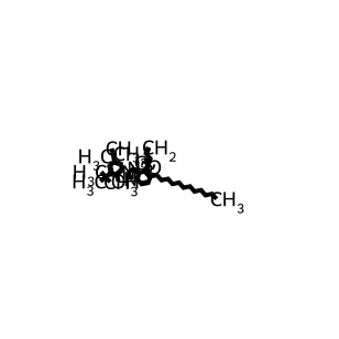 C=CCS(=O)(=O)c1c(CCCCCCCCCCCC)ccc2nn(-c3cc(C(C)(C)C)cc(C(C)(C)C)c3O)nc12